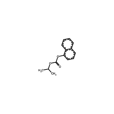 CC(C)OC(=O)Oc1cccc2ccccc12